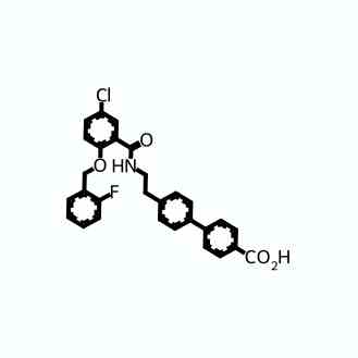 O=C(O)c1ccc(-c2ccc(CCNC(=O)c3cc(Cl)ccc3OCc3ccccc3F)cc2)cc1